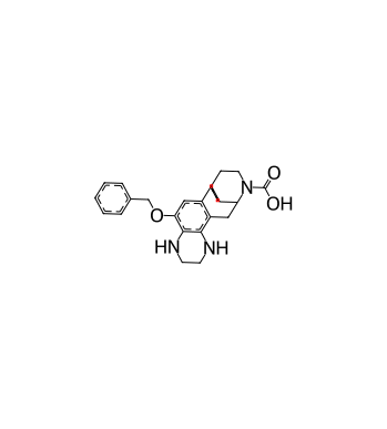 O=C(O)N1CCC23CCCCC2C1Cc1c3cc(OCc2ccccc2)c2c1NCCN2